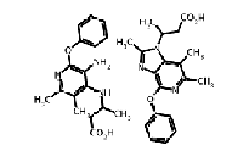 Cc1nc(Oc2ccccc2)c(N)c(NC(C)CC(=O)O)c1C.Cc1nc(Oc2ccccc2)c2nc(C)n(C(C)CC(=O)O)c2c1C